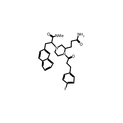 CNC(=O)C(Cc1ccc2ccccc2c1)N1CCN(C(=O)[CH]Cc2ccc(F)cc2)C(CCC(N)=O)C1